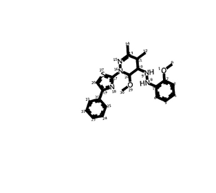 COc1ccccc1NNC1C(C)C(C)=NN(c2nc(-c3ccccc3)cs2)C1OC